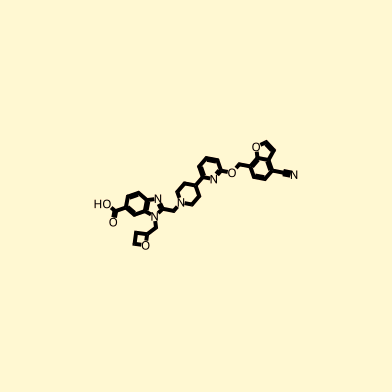 N#Cc1ccc(COc2cccc(C3CCN(Cc4nc5ccc(C(=O)O)cc5n4CC4CCO4)CC3)n2)c2occc12